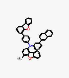 CC(C)(C)c1ccc(N(c2ccc(-c3cccc4c3oc3ccccc34)cc2)c2cccc(-c3ccc4ccccc4c3)c2)c2c1oc1ccccc12